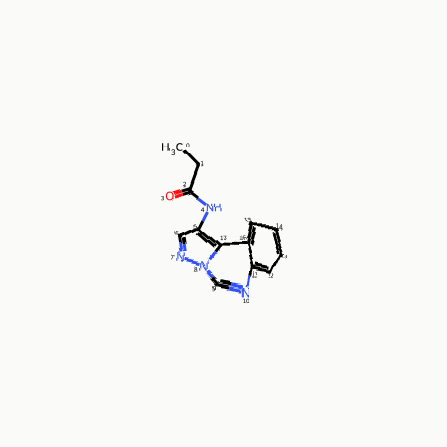 CCC(=O)Nc1cnn2cnc3ccccc3c12